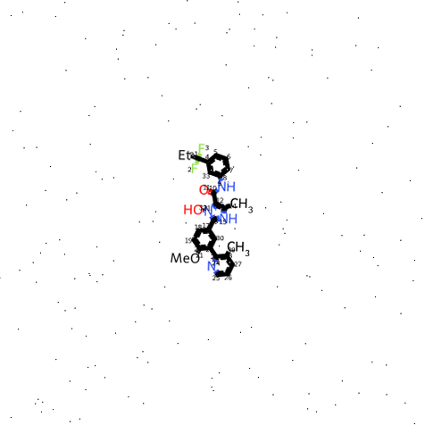 CCC(F)(F)c1cccc(NC(=O)c2c(C)[nH]c(-c3ccc(OC)c(-c4ncccc4C)c3)[n+]2O)c1